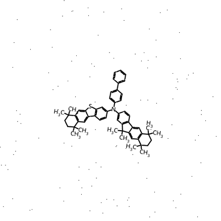 CC1(C)CCC(C)(C)c2cc3c(cc21)-c1ccc(N(c2ccc(-c4ccccc4)cc2)c2ccc4c(c2)sc2cc5c(cc24)C(C)(C)CCC5(C)C)cc1C3(C)C